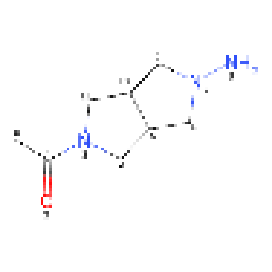 CC(=O)N1CC2CN(N)CC2C1